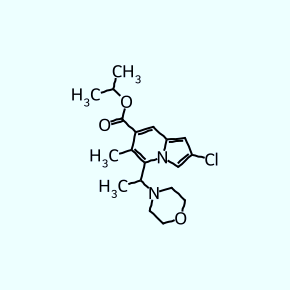 Cc1c(C(=O)OC(C)C)cc2cc(Cl)cn2c1C(C)N1CCOCC1